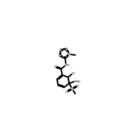 CSC1(S(C)(=O)=O)C=CC=C(C(=O)Nc2nnnn2C)C1Cl